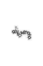 CC(C(=O)Nc1nc2c(s1)CCCC2C(=O)NC1CCN(Cc2ccc(Oc3ccccc3)cc2)C1)c1ccccc1